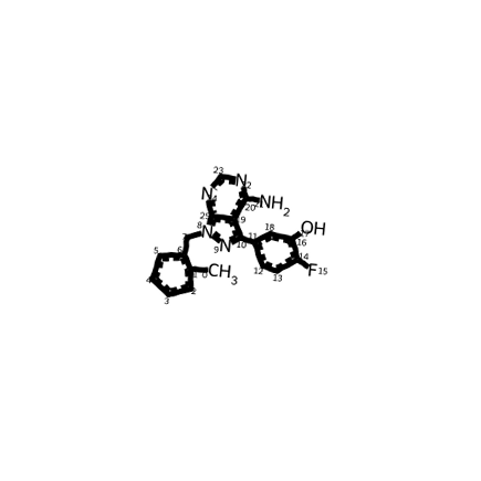 Cc1ccccc1Cn1nc(-c2ccc(F)c(O)c2)c2c(N)ncnc21